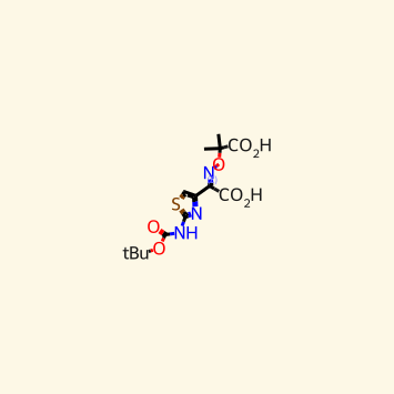 CC(C)(C)OC(=O)Nc1nc(/C(=N/OC(C)(C)C(=O)O)C(=O)O)cs1